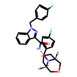 O=C(N[C@H]1C[C@H]2COC[C@@H](C1)N2Cc1ccc(F)cc1)c1nn(Cc2ccc(F)cc2)c2ccccc12